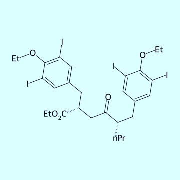 CCC[C@@H](Cc1cc(I)c(OCC)c(I)c1)C(=O)C[C@@H](Cc1cc(I)c(OCC)c(I)c1)C(=O)OCC